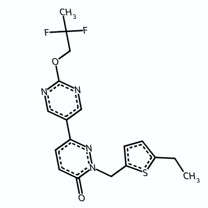 CCc1ccc(Cn2nc(-c3cnc(OCC(C)(F)F)nc3)ccc2=O)s1